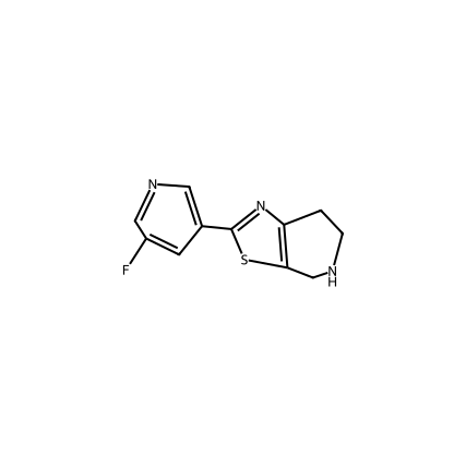 Fc1cncc(-c2nc3c(s2)CNCC3)c1